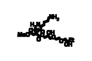 CCC(O)COCCOCC(O)COC(=O)C(CC(=O)OC)NC(=O)C(N)CCCCN